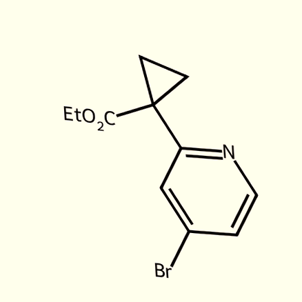 CCOC(=O)C1(c2cc(Br)ccn2)CC1